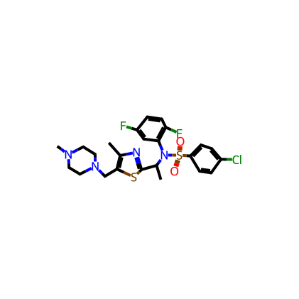 Cc1nc(C(C)N(c2cc(F)ccc2F)S(=O)(=O)c2ccc(Cl)cc2)sc1CN1CCN(C)CC1